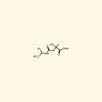 COC(=O)C(C)(O)CC(=O)NC(C(=O)O)C(C)C